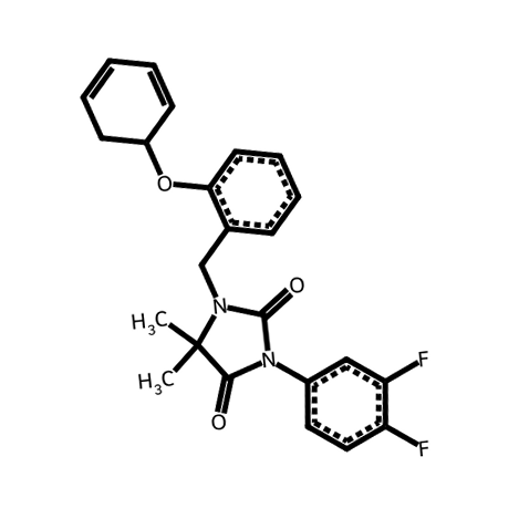 CC1(C)C(=O)N(c2ccc(F)c(F)c2)C(=O)N1Cc1ccccc1OC1C=CC=CC1